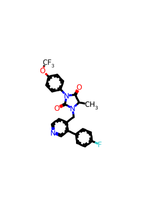 CC1C(=O)N(c2ccc(OC(F)(F)F)cc2)C(=O)N1Cc1ccncc1-c1ccc(F)cc1